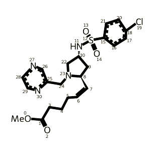 COC(=O)CCC/C=C\[C@@H]1C[C@@H](NS(=O)(=O)c2ccc(Cl)cc2)CN1Cc1cnccn1